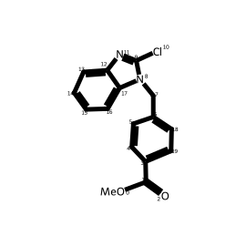 COC(=O)c1ccc(Cn2c(Cl)nc3ccccc32)cc1